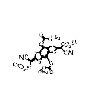 CCCCOC(=O)Oc1c2c(c(OC(=O)OCCCC)c3c1SC(=C(C#N)C(=O)OCC)S3)SC(=C(C#N)C(=O)OCC)S2